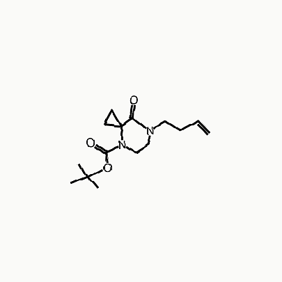 C=CCCN1CCN(C(=O)OC(C)(C)C)C2(CC2)C1=O